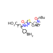 Bc1ccc(C[C@@H](C[C@H](C)C(=O)O)NC(=O)c2csc(C(CC(C(C)C)N(C)C(=O)CCCC)OC(C)=O)n2)cc1